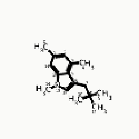 Cc1cc(C)c2c(CC(C)(C)C)cn(C)c2c1